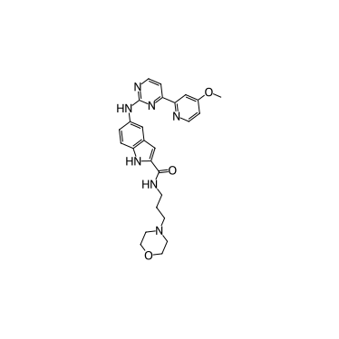 COc1ccnc(-c2ccnc(Nc3ccc4[nH]c(C(=O)NCCCN5CCOCC5)cc4c3)n2)c1